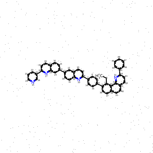 CCc1c(-c2ccc(-c3ccc4cc(-c5ccc6ccc(-c7cccnc7)nc6c5)ccc4n3)cc2)ccc2ccc3ccc(-c4ccccc4)nc3c12